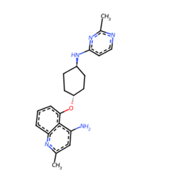 Cc1cc(N)c2c(O[C@H]3CC[C@H](Nc4ccnc(C)n4)CC3)cccc2n1